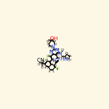 C#Cc1c(F)ccc2cc(C(C)(C)C#N)cc(-c3ncc4c(N(C)C[C@H]5CCCN5)nc(N5CCC(C)(O)CC5)nc4c3F)c12